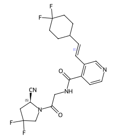 N#C[C@@H]1CC(F)(F)CN1C(=O)CNC(=O)c1ccncc1/C=C/C1CCC(F)(F)CC1